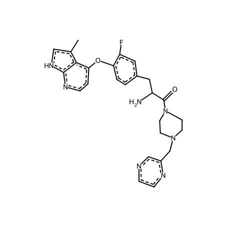 Cc1c[nH]c2nccc(Oc3ccc(CC(N)C(=O)N4CCN(Cc5cnccn5)CC4)cc3F)c12